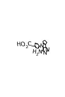 Nc1ncnc2c3c(n(-c4ccc(CC(=O)O)cc4)c12)CCC3